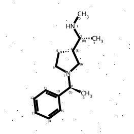 CN[C@H](C)[C@H]1CCN([C@@H](C)c2ccccc2)C1